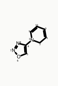 C1=CCN(c2conn2)C=C1